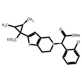 CCOC(=O)C1(c2cc3c(s2)CCN([C@@H](C(=O)OC)c2ccccc2Cl)C3)C(C)[C@H]1C